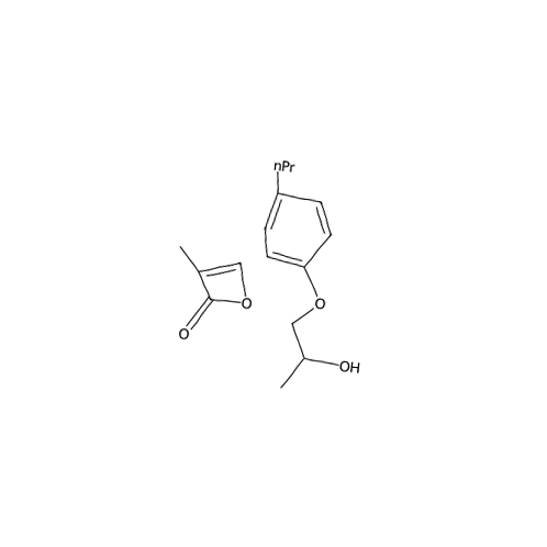 CC1=COC1=O.CCCc1ccc(OCC(C)O)cc1